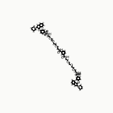 O=C(NCCOCCOCCOCCNS(=O)(=O)c1ccc(O[C@H]2c3ccccc3C[C@@H]2N2CCCCC2)cc1)c1cccc(C(=O)NCCOCCOCCOCCNS(=O)(=O)c2ccc(O[C@H]3c4ccccc4C[C@@H]3N3CCCCC3)cc2)c1